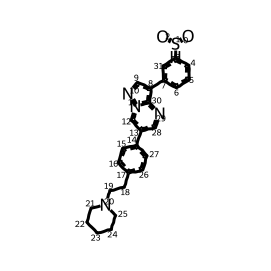 O=[SH](=O)c1cccc(-c2cnn3cc(-c4ccc(CCN5CCCCC5)cc4)cnc23)c1